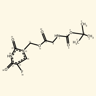 CC(C)(C)OC(=O)NCC(=O)OCn1cc(F)c(=O)[nH]c1=O